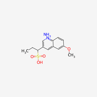 CCC(c1cnc2ccc(OC)cc2c1)S(=O)(=O)O.N